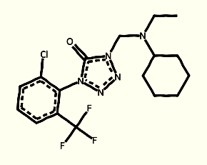 CCN(Cn1nnn(-c2c(Cl)cccc2C(F)(F)F)c1=O)C1CCCCC1